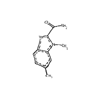 Cc1ccc2nc(C(N)=O)n(C)c2c1